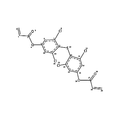 C=CC(=O)Oc1cc(Cl)c(Sc2c(Cl)cc(OC(=O)C=C)cc2Cl)c(Cl)c1